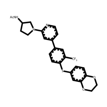 CC(=O)NC1CCN(c2cc(-c3ccc(Sc4ccc5c(c4)OCCO5)c(C(F)(F)F)c3)ccn2)C1